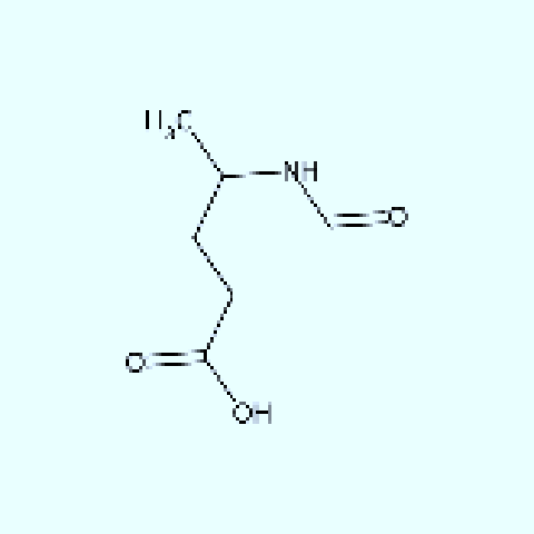 CC(CCC(=O)O)NC=O